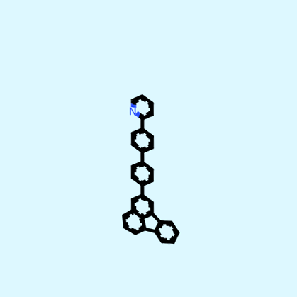 c1ccc(-c2ccc(-c3ccc(-c4cc5c6c(cccc6c4)-c4ccccc4-5)cc3)cc2)nc1